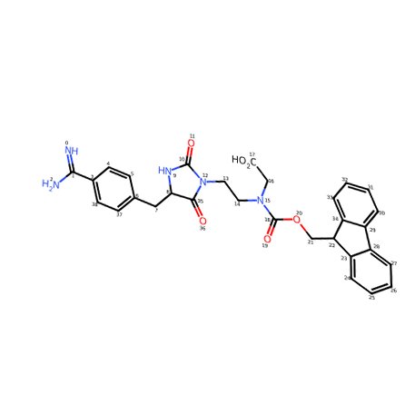 N=C(N)c1ccc(CC2NC(=O)N(CCN(CC(=O)O)C(=O)OCC3c4ccccc4-c4ccccc43)C2=O)cc1